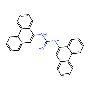 N=C(Nc1cc2ccccc2c2ccccc12)Nc1cc2ccccc2c2ccccc12